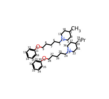 CC1CCN(CCCCCOc2ccccc2)CC1.CCCC1CCN(CCCCCOc2ccccc2)CC1